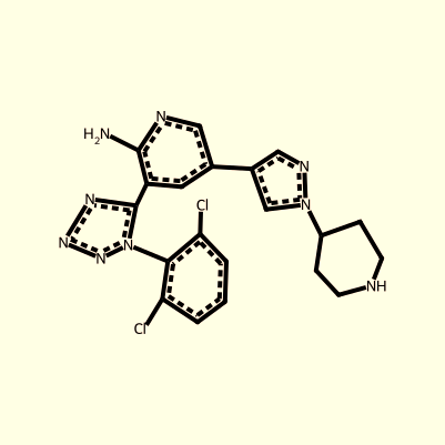 Nc1ncc(-c2cnn(C3CCNCC3)c2)cc1-c1nnnn1-c1c(Cl)cccc1Cl